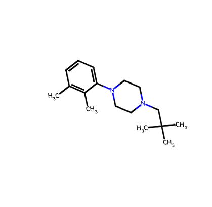 Cc1cccc(N2CCN(CC(C)(C)C)CC2)c1C